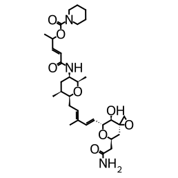 CC(C=C[C@H]1O[C@H](CC(N)=O)C[C@@]2(CO2)[C@@H]1O)=CC[C@@H]1O[C@H](C)[C@H](NC(=O)C=CC(C)OC(=O)N2CCCCC2)C[C@@H]1C